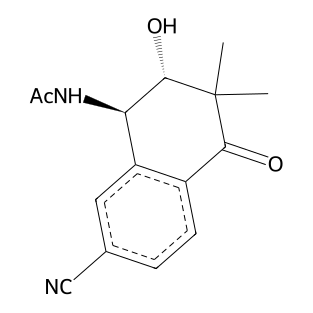 CC(=O)N[C@@H]1c2cc(C#N)ccc2C(=O)C(C)(C)[C@H]1O